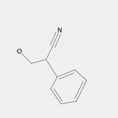 N#CC(C[O])c1ccccc1